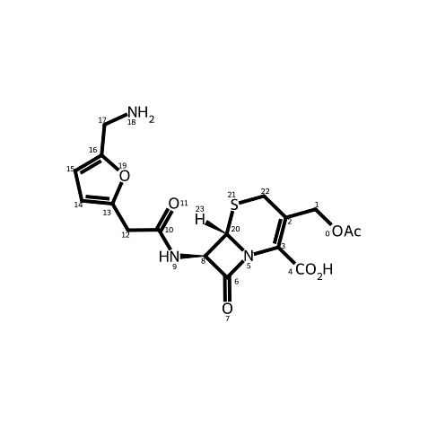 CC(=O)OCC1=C(C(=O)O)N2C(=O)[C@@H](NC(=O)Cc3ccc(CN)o3)[C@@H]2SC1